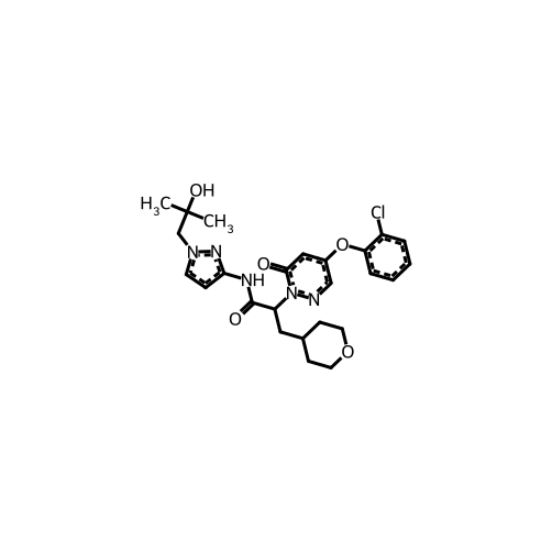 CC(C)(O)Cn1ccc(NC(=O)C(CC2CCOCC2)n2ncc(Oc3ccccc3Cl)cc2=O)n1